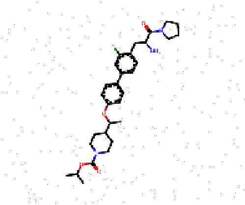 CC(C)OC(=O)N1CCC(C(C)Oc2ccc(-c3ccc(C[C@H](N)C(=O)N4CCCC4)c(F)c3)cc2)CC1